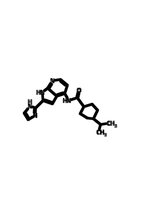 CC(C)C1CCC(C(=O)Nc2ccnc3[nH]c(-c4ncc[nH]4)cc23)CC1